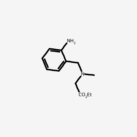 CCOC(=O)CN(C)Cc1ccccc1N